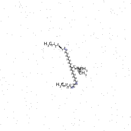 CCCCCC#CC/C=C\CCCCCCCCCC(CCCCCCC/C=C\C/C=C\CCCCC)CCCN(C)CC